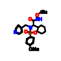 COc1ccc(S(=O)(=O)N(Cc2ccncc2)C(C(=O)NOC(C)(C)C)C2CCCCC2)cc1